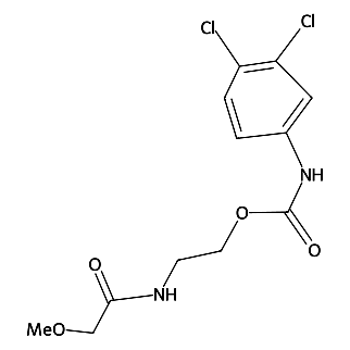 COCC(=O)NCCOC(=O)Nc1ccc(Cl)c(Cl)c1